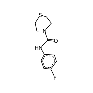 O=C(Nc1ccc(F)cc1)N1CCSCC1